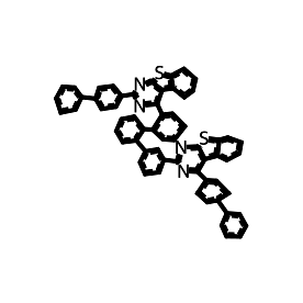 c1ccc(-c2ccc(-c3nc(-c4ccccc4-c4ccccc4-c4cccc(-c5nc(-c6ccc(-c7ccccc7)cc6)c6c(n5)sc5ccccc56)c4)c4c(n3)sc3ccccc34)cc2)cc1